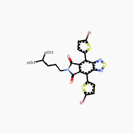 CCCCCCCCC(CCCCCCCC)CCCN1C(=O)c2c(c(-c3ccc(Br)s3)c3nsnc3c2-c2ccc(Br)s2)C1=O